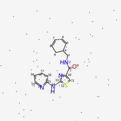 O=C(NCC1C=CC=CC1)c1csc(Nc2ccccn2)n1